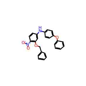 O=[N+]([O-])c1ccc(Nc2ccc(Oc3ccccc3)cc2)cc1OCc1ccccc1